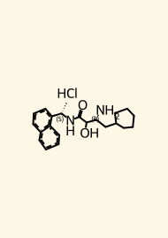 C[C@H](NC(=O)C(O)[C@H](N)CC1CCCCC1)c1cccc2ccccc12.Cl